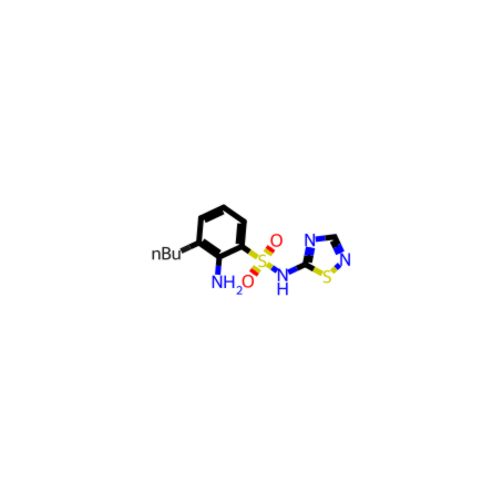 CCCCc1cccc(S(=O)(=O)Nc2ncns2)c1N